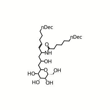 CCCCCCCCCCCCCC=CC(CC(O)CC1O[C@H](CO)[C@@H](O)[C@H](O)[C@H]1O)NC(=O)CCCCCCCCCCCCCCC